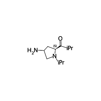 CC(C)C(=O)[C@@H]1CC(N)CN1C(C)C